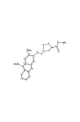 CNc1c2ccccc2nc2cc(OCC3CCN(C(=O)OC(C)(C)C)C3)c(OC)cc12